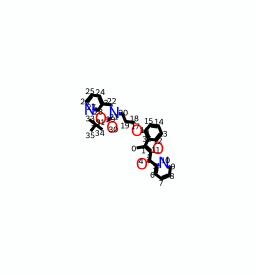 Cc1c(C(=O)c2ccccn2)oc2cccc(OCCCN(Cc3cccnc3)C(=O)OC(C)(C)C)c12